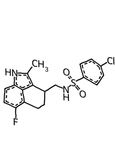 Cc1[nH]c2ccc(F)c3c2c1C(CNS(=O)(=O)c1ccc(Cl)cc1)CC3